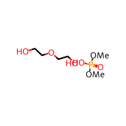 COP(=O)(O)OC.OCCOCCO